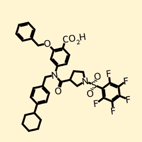 O=C(O)c1ccc(N(Cc2ccc(C3CCCCC3)cc2)C(=O)C2CCN(S(=O)(=O)c3c(F)c(F)c(F)c(F)c3F)C2)cc1OCc1ccccc1